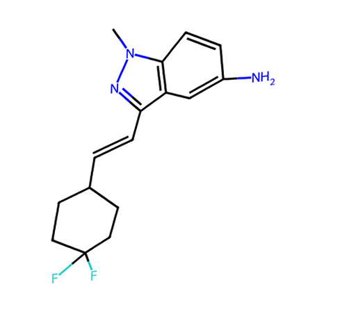 Cn1nc(C=CC2CCC(F)(F)CC2)c2cc(N)ccc21